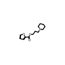 O=C(OCCCN1CCCCC1)c1ccco1